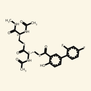 CNC(=O)[C@H](CSC(=O)[C@H](CSC(=O)c1cc(-c2ccc(F)cc2F)ccc1O)NC(C)=O)NC(C)=O